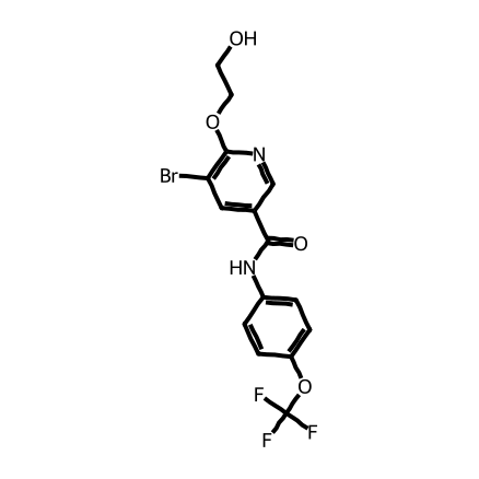 O=C(Nc1ccc(OC(F)(F)F)cc1)c1cnc(OCCO)c(Br)c1